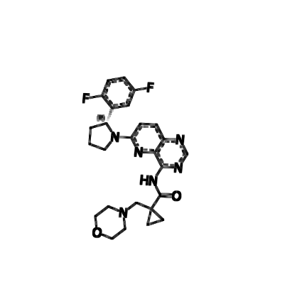 O=C(Nc1ncnc2ccc(N3CCC[C@@H]3c3cc(F)ccc3F)nc12)C1(CN2CCOCC2)CC1